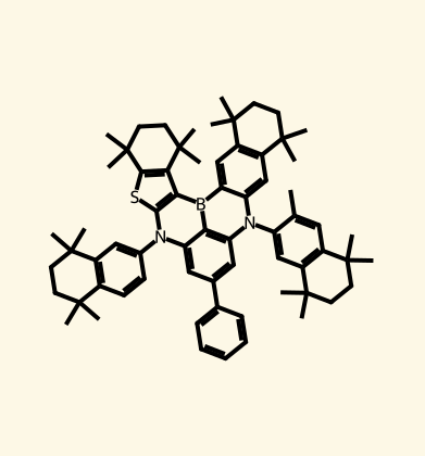 Cc1cc2c(cc1N1c3cc4c(cc3B3c5c1cc(-c1ccccc1)cc5N(c1ccc5c(c1)C(C)(C)CCC5(C)C)c1sc5c(c13)C(C)(C)CCC5(C)C)C(C)(C)CCC4(C)C)C(C)(C)CCC2(C)C